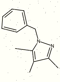 [CH2]c1c(C)nn(Cc2ccccc2)c1C